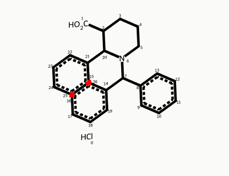 Cl.O=C(O)C1CCCN(C(c2ccccc2)c2ccccc2)C1c1ccccc1